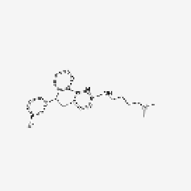 CN(C)CCCCNc1ncc2c(n1)-c1ccccc1C(c1cccc(Br)c1)C2